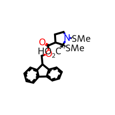 CSN1CCC(C(=O)OCC2c3ccccc3-c3ccccc32)[C@@]1(SC)C(=O)O